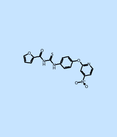 O=C(NC(=S)Nc1ccc(Oc2cc([N+](=O)[O-])ccn2)cc1)c1ccco1